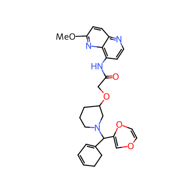 COc1ccc2nccc(NC(=O)COC3CCCN(C(C4=CC=CCC4)C4=COC=CO4)C3)c2n1